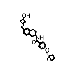 O=C(N[C@H]1CCc2cc(CN3CC(O)C3)ccc2C1)c1ccc(OC[C@@H]2CCCO2)cc1